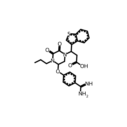 CCCN1C(=O)C(=O)N(C(CC(=O)O)c2csc3ccccc23)CC1Oc1ccc(C(=N)N)cc1